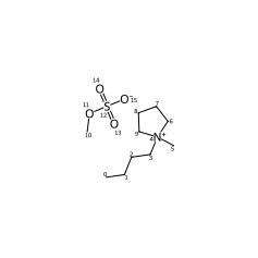 CCCC[N+]1(C)CCCC1.COS(=O)(=O)[O-]